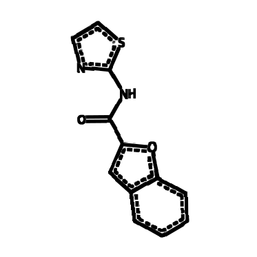 O=C(Nc1nccs1)c1cc2ccccc2o1